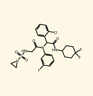 O=C(NC1CCC(F)(F)CC1)C(c1ccccc1Cl)N(C(=O)CNS(=O)(=O)N1CC1)c1cccc(F)c1